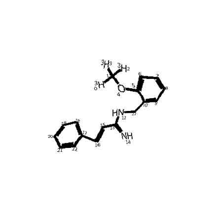 [3H]C([3H])([3H])Oc1ccccc1CNC(=N)/C=C/c1ccccc1